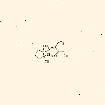 CCC(=O)C(C)=CCC1(C)CCCC1(C)C